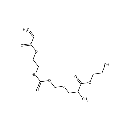 C=CC(=O)OCCNC(=O)OCSCC(C)C(=O)OCCO